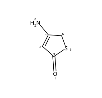 NC1=CC(=O)SC1